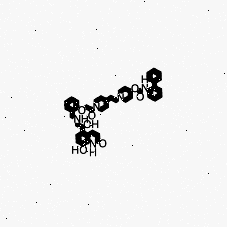 O=C(Nc1ccccc1-c1ccccc1)OC1CCN(CCC2CCN(C(=O)COc3ccccc3CNC[C@@H](O)c3ccc(O)c4[nH]c(=O)ccc34)CC2)CC1